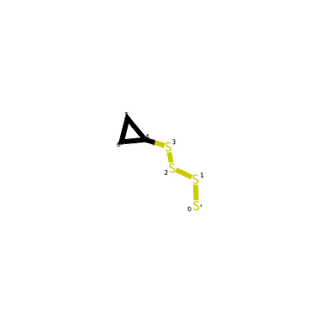 [S]SSSC1CC1